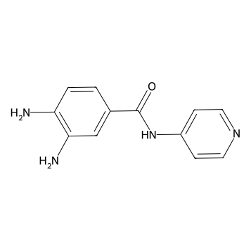 Nc1ccc(C(=O)Nc2ccncc2)cc1N